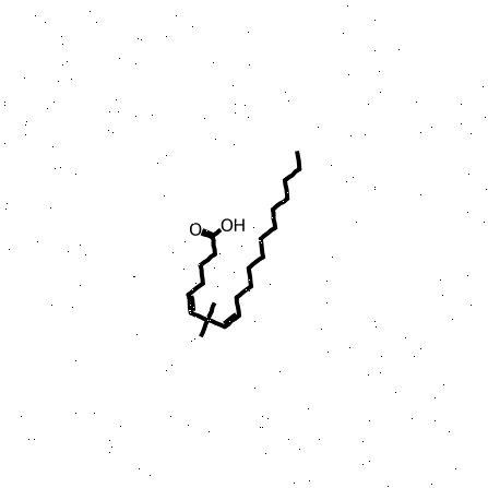 CCCCCCCCCCC/C=C\C(C)(C)/C=C\CCCC(=O)O